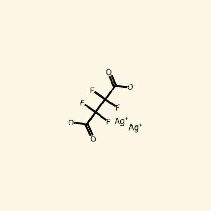 O=C([O-])C(F)(F)C(F)(F)C(=O)[O-].[Ag+].[Ag+]